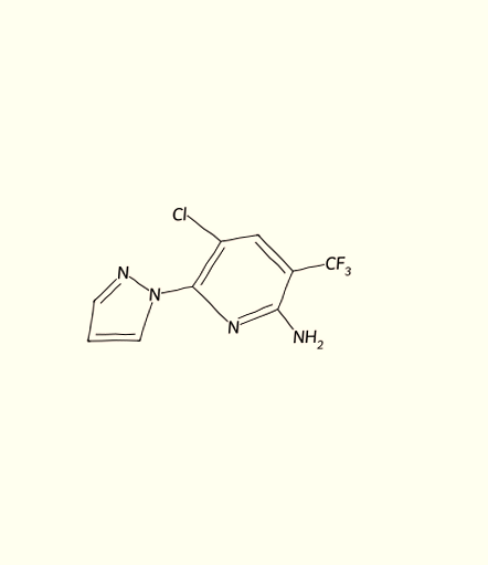 Nc1nc(-n2cccn2)c(Cl)cc1C(F)(F)F